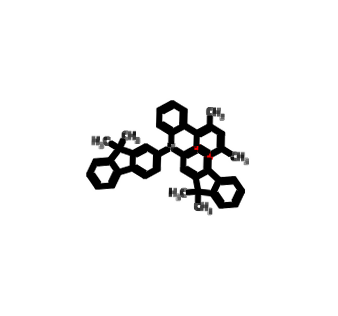 Cc1ccc(-c2ccccc2N(c2ccc3c(c2)C(C)(C)c2ccccc2-3)c2ccc3c(c2)C(C)(C)c2ccccc2-3)c(C)c1